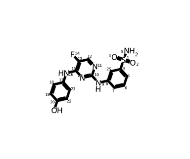 NS(=O)(=O)c1cccc(Nc2ncc(F)c(Nc3ccc(O)cc3)n2)c1